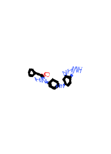 N=C1C=CC(Nc2ccc(NC(=O)c3ccccc3)cc2)=CC1=N